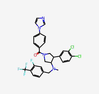 CN(Cc1ccc(C(F)(F)F)c(F)c1)C1CN(C(=O)c2ccc(-n3ccnc3)cc2)CC1c1ccc(Cl)c(Cl)c1